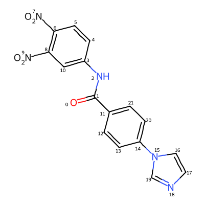 O=C(Nc1ccc([N+](=O)[O-])c([N+](=O)[O-])c1)c1ccc(-n2ccnc2)cc1